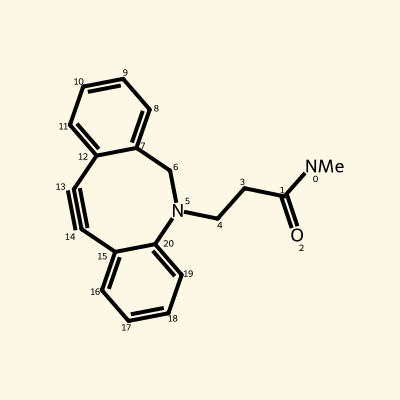 CNC(=O)CCN1Cc2ccccc2C#Cc2ccccc21